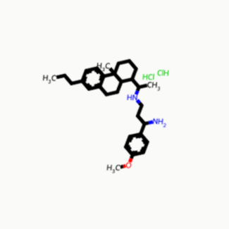 CCCc1ccc2c(c1)CCC1C(C(C)NCCC(N)c3ccc(OC)cc3)CCCC21C.Cl.Cl